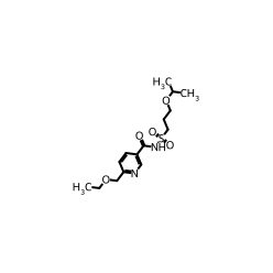 CCOCc1ccc(C(=O)NS(=O)(=O)CCCOC(C)C)cn1